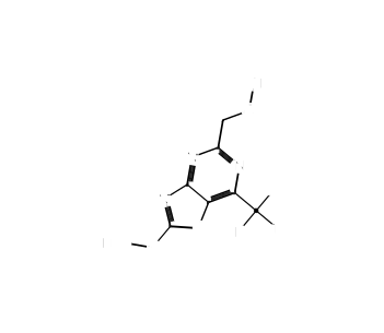 COCc1nc(C(F)(F)F)c2sc(SC)nc2n1